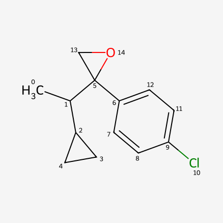 CC(C1CC1)C1(c2ccc(Cl)cc2)CO1